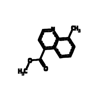 COC(=O)c1ccnc2c(C)cccc12